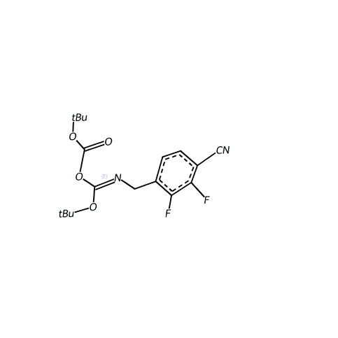 CC(C)(C)OC(=O)O/C(=N/Cc1ccc(C#N)c(F)c1F)OC(C)(C)C